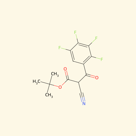 CC(C)(C)OC(=O)C(C#N)C(=O)c1cc(F)c(F)c(F)c1F